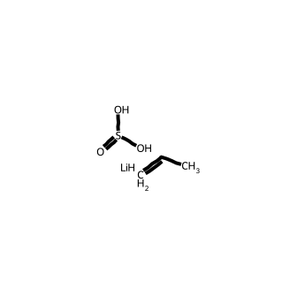 C=CC.O=S(O)O.[LiH]